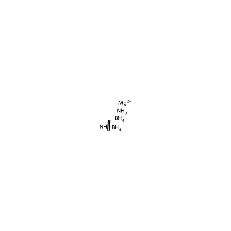 C=C.N.N.[BH4-].[BH4-].[Mg+2]